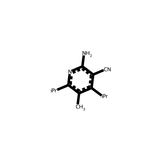 Cc1c(C(C)C)nc(N)c(C#N)c1C(C)C